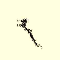 C[C@@H]1O[C@@H](OCCCC(=O)NCCOCCOCCOCCOCCN)[C@H](CC(=O)O)[C@H](CC(=O)O)[C@@H]1CC(=O)O